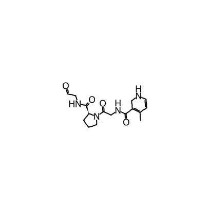 CC1=C(C(=O)NCC(=O)N2CCC[C@H]2C(=O)NCC=O)CNC=C1